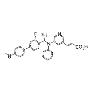 [2H]C(c1ccc(-c2ccc(N(C)C)cc2)cc1F)N(c1ccccc1)c1cncc(/C=C/C(=O)O)c1